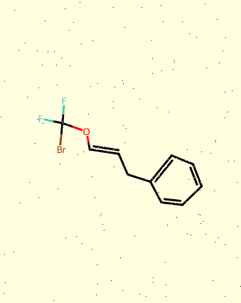 FC(F)(Br)OC=CCc1ccccc1